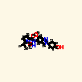 COc1cc2nn(C3CCC(O)CC3)cc2cc1NC(=O)c1cccc(C(C)C)[n+]1OC